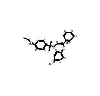 CCOc1ccc(C(C)(C)CCC(Oc2ccc(F)cc2)c2ccccc2)cc1